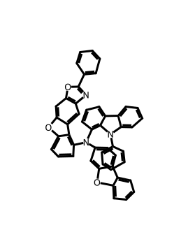 c1ccc(-c2nc3cc4c(cc3o2)oc2cccc(N(c3ccc5c(c3)oc3ccccc35)c3cccc5c6ccccc6n(-c6ccccc6)c35)c24)cc1